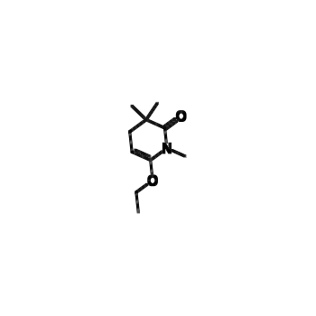 CCOC1=CCC(C)(C)C(=O)N1C